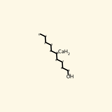 CCCCCCCCCCO.[CaH2]